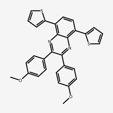 COc1ccc(-c2nc3c(-c4cccs4)ccc(-c4cccs4)c3nc2-c2ccc(OC)cc2)cc1